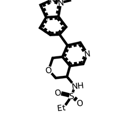 CCS(=O)(=O)NC1COCc2c(-c3ccc4cnn(C)c4c3)cncc21